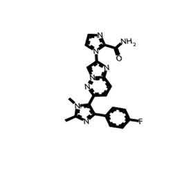 Cc1nc(-c2ccc(F)cc2)c(-c2ccc3nc(-n4ccnc4C(N)=O)cn3n2)n1C